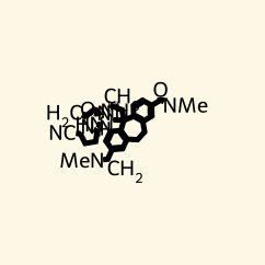 C=C(NC)c1ccc2c(c1)CCc1cc(C(=O)NC)ccc1C2(C[C@@H](C)NCC(=C)N1CCCC1C#N)c1n[nH]c(=O)[nH]1